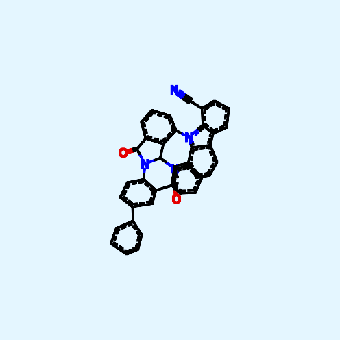 Cc1cccc2c3cccc(C#N)c3n(-c3cccc4c3C(N=C=O)N(c3ccc(-c5ccccc5)cc3-c3ccccc3)C4=O)c12